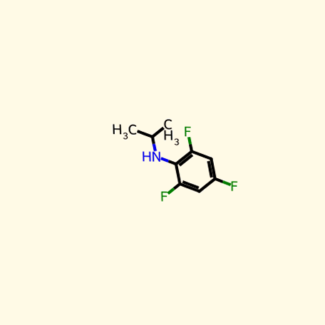 CC(C)Nc1c(F)cc(F)cc1F